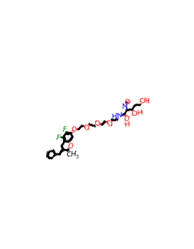 CC(=O)/C(=C/C1CCCC1)Cc1ccc(OCCOCCOCCOCCNC(O)C(N=O)C(O)CCO)c(F)c1F